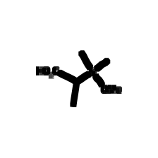 CO[Si](C)(C)C(C)C(=O)O